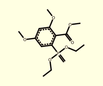 C=P(OCC)(OCC)c1cc(OC)cc(OC)c1C(=O)OC